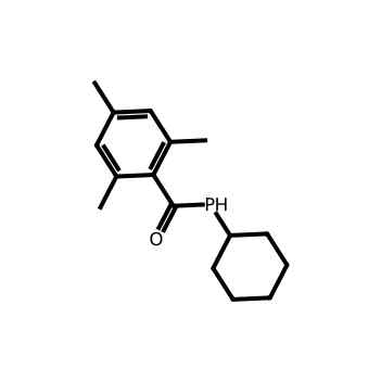 Cc1cc(C)c(C(=O)PC2CCCCC2)c(C)c1